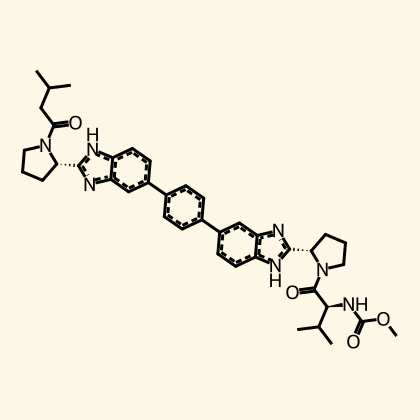 COC(=O)N[C@H](C(=O)N1CCC[C@H]1c1nc2cc(-c3ccc(-c4ccc5[nH]c([C@@H]6CCCN6C(=O)CC(C)C)nc5c4)cc3)ccc2[nH]1)C(C)C